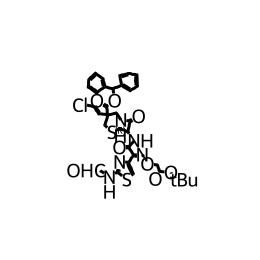 CC(C)(C)OC(=O)CON=C(C(=O)NC1C(=O)N2CC(C=CCl)(C(=O)OC(c3ccccc3)c3ccccc3)CS[C@H]12)c1csc(NC=O)n1